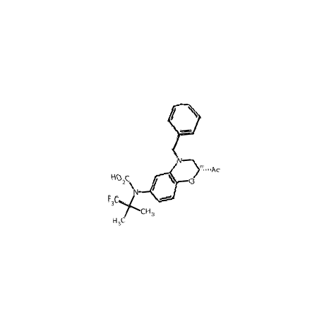 CC(=O)[C@H]1CN(Cc2ccccc2)c2cc(N(C(=O)O)C(C)(C)C(F)(F)F)ccc2O1